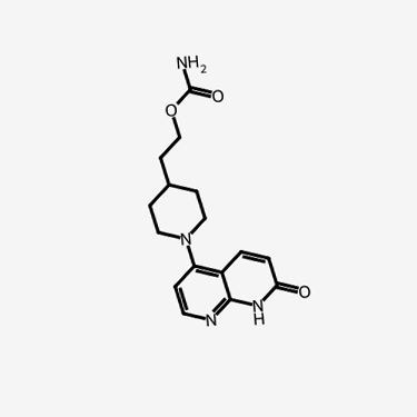 NC(=O)OCCC1CCN(c2ccnc3[nH]c(=O)ccc23)CC1